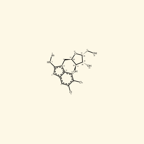 CC(C)Nc1nc2cc(Cl)c(Cl)cc2n1C[C@H]1O[C@H](CO)[C@H](O)[C@H]1O